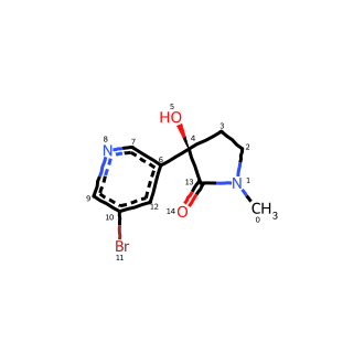 CN1CC[C@@](O)(c2cncc(Br)c2)C1=O